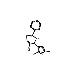 Cc1cc(C2NC(c3ccccc3)=NC=C2Cl)c(C)s1